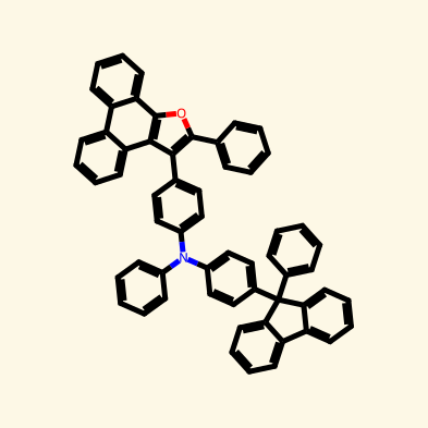 c1ccc(-c2oc3c4ccccc4c4ccccc4c3c2-c2ccc(N(c3ccccc3)c3ccc(C4(c5ccccc5)c5ccccc5-c5ccccc54)cc3)cc2)cc1